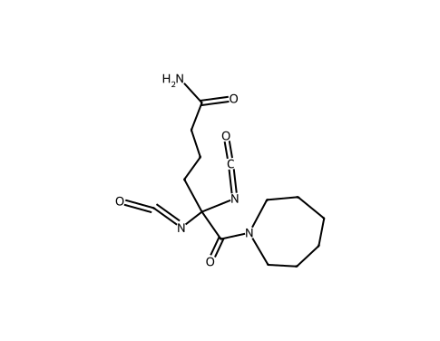 NC(=O)CCCC(N=C=O)(N=C=O)C(=O)N1CCCCCC1